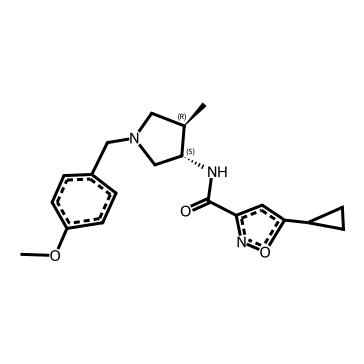 COc1ccc(CN2C[C@@H](C)[C@H](NC(=O)c3cc(C4CC4)on3)C2)cc1